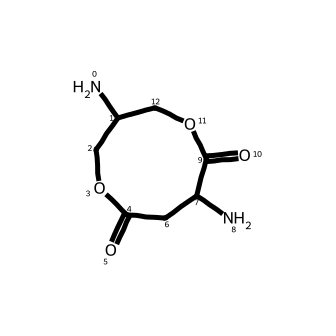 NC1COC(=O)CC(N)C(=O)OC1